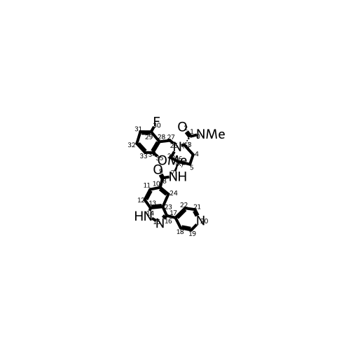 CNC(=O)[C@@H]1CC[C@@H](NC(=O)c2ccc3[nH]nc(-c4ccncc4)c3c2)CN1Cc1c(F)cccc1OC